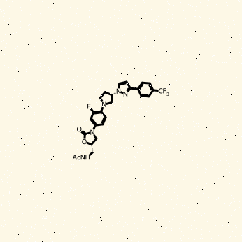 CC(=O)NC[C@H]1CN(c2ccc(N3CC[C@H](n4ccc(-c5ccc(C(F)(F)F)cc5)n4)C3)c(F)c2)C(=O)O1